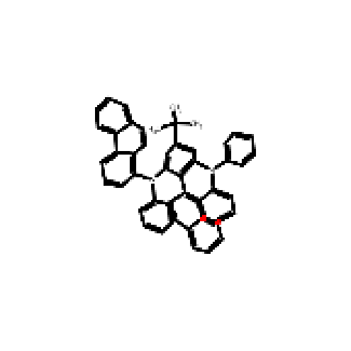 CC(C)(C)c1cc(N(c2ccccc2)c2ccccc2)c(-c2ccc3ccccc3c2)c(N(c2ccccc2)c2cccc3c2ccc2ccccc23)c1